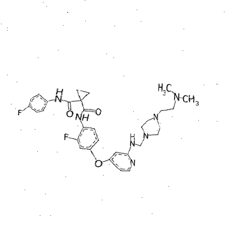 CN(C)CCN1CCN(CNc2cc(Oc3ccc(NC(=O)C4(C(=O)Nc5ccc(F)cc5)CC4)c(F)c3)ccn2)CC1